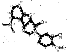 COc1ccc(-n2cnc3c(sc4nccc(N(C)C)c43)c2=O)cc1Cl